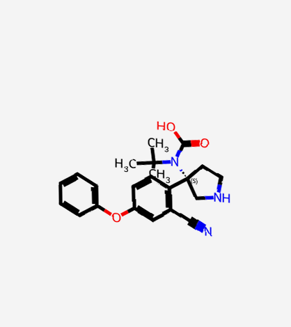 CC(C)(C)N(C(=O)O)[C@]1(c2ccc(Oc3ccccc3)cc2C#N)CCNC1